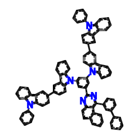 c1ccc(-c2cccc(-c3nc(-c4cc(-n5c6ccccc6c6cc(-c7ccc8c(c7)c7ccccc7n8-c7ccccc7)ccc65)cc(-n5c6ccccc6c6cc(-c7ccc8c(c7)c7ccccc7n8-c7ccccc7)ccc65)c4)nc4ccc5ccccc5c34)c2)cc1